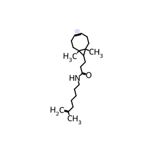 C=C(C)CCCCCNC(=O)CCC1C2(C)CC/C=C\CCC12C